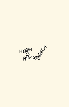 CC(C)(C)c1ccc(N2CCN(C(=O)COC3CCC(Nc4ccc(N(O)O)cc4C#N)CC3)CC2)cc1